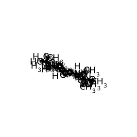 COC(=O)N[C@H](C(=O)N1C[C@@H](C)C[C@H]1c1ncc(-c2ccc3c(c2)COc2cc4c(ccc5nc([C@@H]6CC[C@H](C)N6C(=O)C(NCO)C(C)C)[nH]c54)cc2-3)[nH]1)[C@@H](C)OC